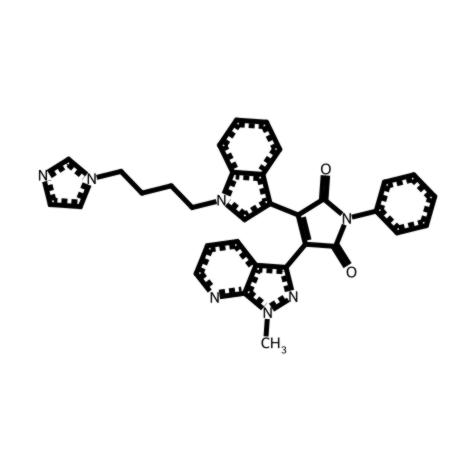 Cn1nc(C2=C(c3cn(CCCCn4ccnc4)c4ccccc34)C(=O)N(c3ccccc3)C2=O)c2cccnc21